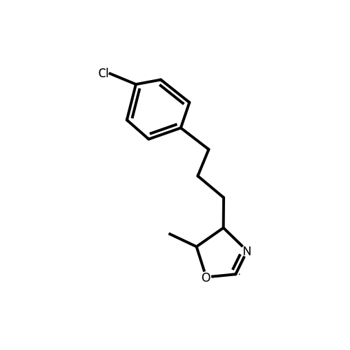 CC1O[C]=NC1CCCc1ccc(Cl)cc1